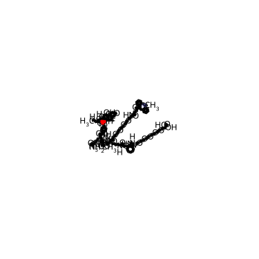 CCCC1O[C@@H]2C[C@H]3[C@@H]4C[C@H](F)C5=CC(=O)C=C[C@]5(C)[C@@]4(F)[C@@H](O)C[C@]3(C)[C@]2(C(=O)COc2ccc(NC(=O)[C@H](CCCNC(N)=O)NC(=O)[C@@H](NC(=O)[C@@H](CCCCNC(=O)COC3CCCCCC4=C3NNN4CCOCCOCCOCCOCCOCCP(=O)(O)O)NC(=O)CCOCCOCCOCCOCCNC(=O)CCC(=O)N3Cc4ccccc4/C(C)=C\c4ccccc43)C(C)C)cc2)O1